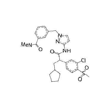 CNC(=O)c1cccc(Cn2ccc(NC(=O)C(CC3CCCC3)c3ccc(S(C)(=O)=O)c(Cl)c3)n2)c1